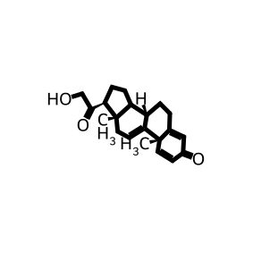 C[C@]12C=CC(=O)C=C1CC[C@@H]1C2=CC[C@@]2(C)C1CC[C@@H]2C(=O)CO